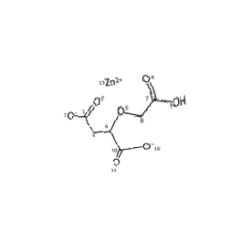 O=C([O-])CC(OCC(=O)O)C(=O)[O-].[Zn+2]